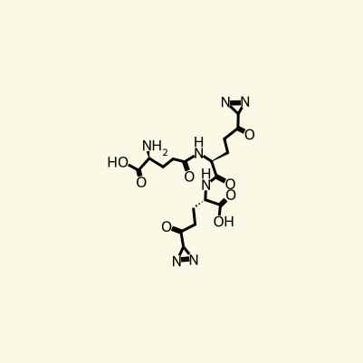 N[C@@H](CCC(=O)N[C@@H](CCC(=O)C1N=N1)C(=O)N[C@@H](CCC(=O)C1N=N1)C(=O)O)C(=O)O